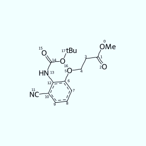 COC(=O)CCOc1cccc(C#N)c1NC(=O)OC(C)(C)C